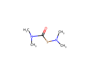 CN(C)SC(=O)N(C)C